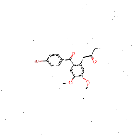 CCC(=O)Cc1cc(OC)c(OC)cc1C(=O)c1ccc(Br)cc1